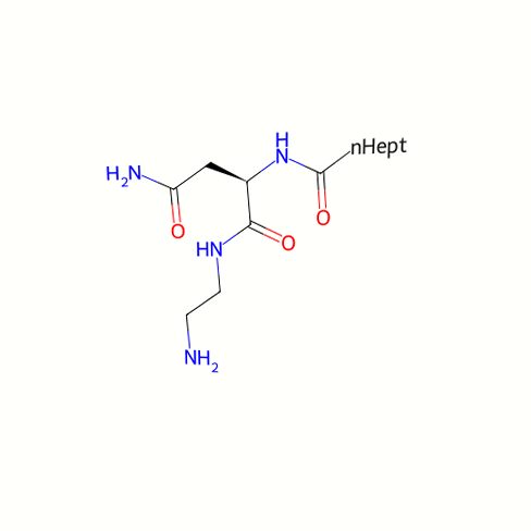 CCCCCCCC(=O)N[C@H](CC(N)=O)C(=O)NCCN